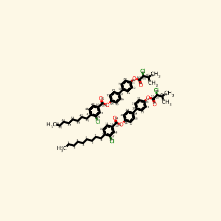 CCCCCCCCCc1ccc(C(=O)Oc2ccc(-c3ccc(OC(=O)C(Cl)C(C)C)cc3)cc2)cc1Cl.CCCCCCCCc1ccc(C(=O)Oc2ccc(-c3ccc(OC(=O)C(Cl)C(C)C)cc3)cc2)cc1Cl